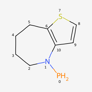 PN1CCCCc2sccc21